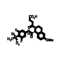 CC[Si](C)(C)c1c(F)cc(NC(=O)[C@H]2c3ccc(OC)cc3CCN2C(=O)CCC(=O)O)cc1F